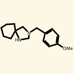 COc1ccc(CN2CNC3(CCCCC3)C2)cc1